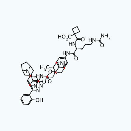 C[C@@H]1CNCCN1CCOc1cc(N2C3CCC2CN(c2cc(-c4ccccc4O)nnc2NC(=O)OCc2ccc(NC(=O)[C@H](CCCNC(N)=O)NC(=O)C4(C(=O)O)CCC4)cc2)C3)ccn1